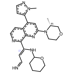 C[C@@H]1COCCN1c1cc(-c2ccnn2C)c2ccnc(/C(=C/C=N)NC3CCCCO3)c2n1